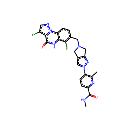 CNC(=O)c1ccc(-n2cc3c(n2)CN(Cc2ccc4c([nH]c(=O)c5c(F)cnn54)c2F)C3)c(C)n1